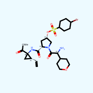 C=C[C@@H]1C[C@]1(NC(=O)[C@@H]1C[C@H](OS(=O)(=O)C2CCC(Br)CC2)CN1C(=O)[C@@H](N)C1CCOCC1)C(=O)OC